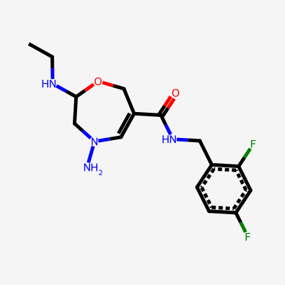 CCNC1CN(N)C=C(C(=O)NCc2ccc(F)cc2F)CO1